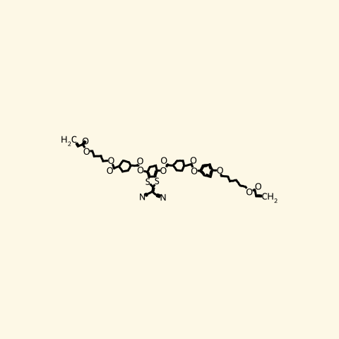 C=CC(=O)OCCCCCCOc1ccc(OC(=O)C2CCC(C(=O)OC3=C4SC(=C(C#N)C#N)SC4=C(OC(=O)C4CCC(C(=O)OCCCCOC(=O)C=C)CC4)CC3)CC2)cc1